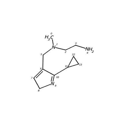 CN(CCN)CC1=CCN=C1C1CC1